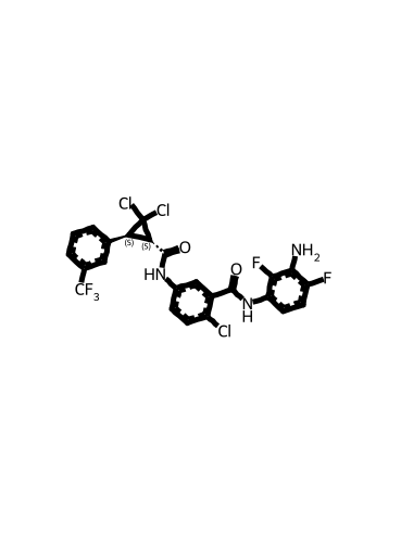 Nc1c(F)ccc(NC(=O)c2cc(NC(=O)[C@@H]3[C@@H](c4cccc(C(F)(F)F)c4)C3(Cl)Cl)ccc2Cl)c1F